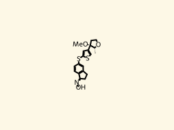 CO[C@]1(c2csc(Sc3ccc4c(c3)CC/C4=N\O)c2)CCO[C@@H]1C